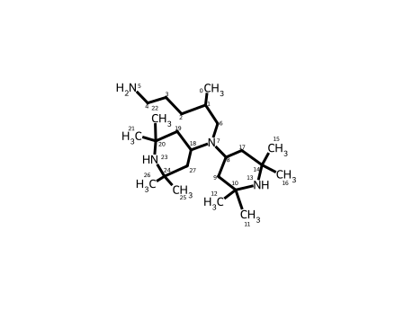 CC(CCCN)CN(C1CC(C)(C)NC(C)(C)C1)C1CC(C)(C)NC(C)(C)C1